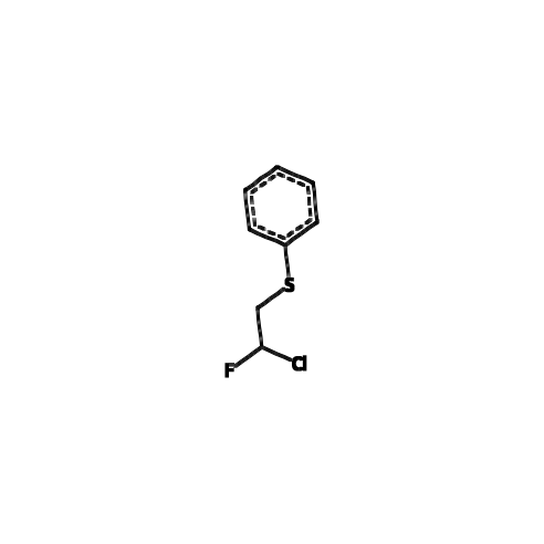 FC(Cl)CSc1ccccc1